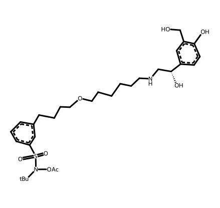 CC(=O)ON(C(C)(C)C)S(=O)(=O)c1cccc(CCCCOCCCCCCNC[C@@H](O)c2ccc(O)c(CO)c2)c1